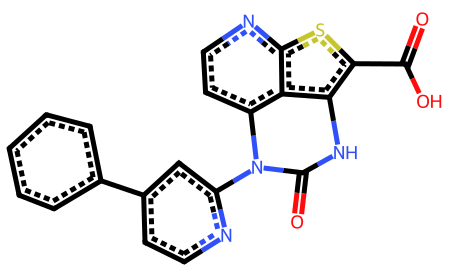 O=C(O)c1sc2nccc3c2c1NC(=O)N3c1cc(-c2ccccc2)ccn1